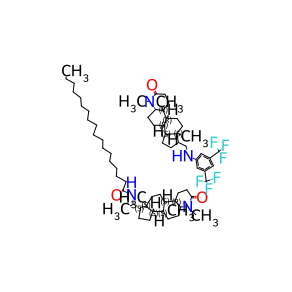 CCCCCCCCCCCCCCCCCC(=O)NC(C)[C@H]1CC[C@H]2[C@@H]3CCC4N(C)C(=O)CC[C@]4(C)[C@H]3CC[C@]12C.CN1C(=O)CC[C@@]2(C)C1CC[C@@H]1[C@H]2CC[C@]2(C)C(CNc3cc(C(F)(F)F)cc(C(F)(F)F)c3)CC[C@@H]12